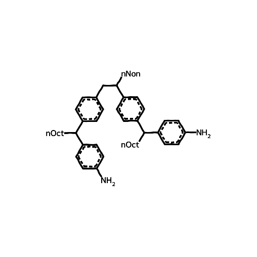 CCCCCCCCCC(Cc1ccc(C(CCCCCCCC)c2ccc(N)cc2)cc1)c1ccc(C(CCCCCCCC)c2ccc(N)cc2)cc1